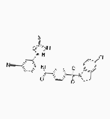 N#Cc1ccc(NC(=O)c2ccc(S(=O)(=O)N3CCc4cc(Cl)ccc43)cc2)c(-c2n[nH]c(=S)o2)c1